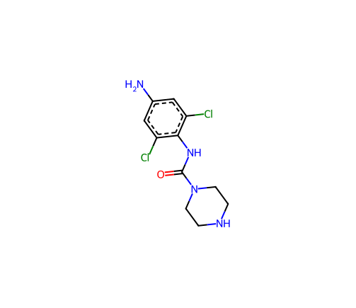 Nc1cc(Cl)c(NC(=O)N2CCNCC2)c(Cl)c1